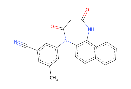 Cc1cc(C#N)cc(N2C(=O)CC(=O)Nc3c2ccc2ccccc32)c1